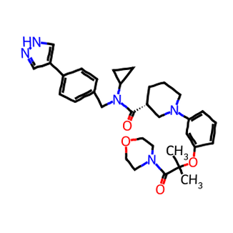 CC(C)(Oc1cccc(N2CCC[C@@H](C(=O)N(Cc3ccc(-c4cn[nH]c4)cc3)C3CC3)C2)c1)C(=O)N1CCOCC1